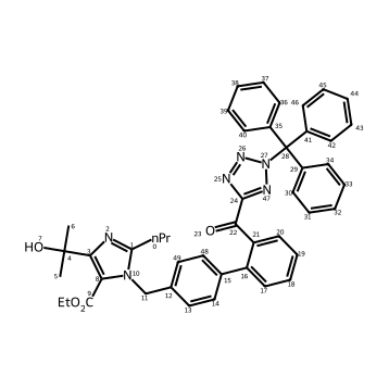 CCCc1nc(C(C)(C)O)c(C(=O)OCC)n1Cc1ccc(-c2ccccc2C(=O)c2nnn(C(c3ccccc3)(c3ccccc3)c3ccccc3)n2)cc1